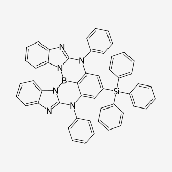 c1ccc(N2c3cc([Si](c4ccccc4)(c4ccccc4)c4ccccc4)cc4c3B(n3c2nc2ccccc23)n2c(nc3ccccc32)N4c2ccccc2)cc1